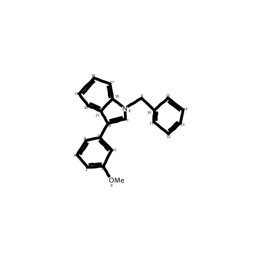 COc1cc[c]c(-c2cn(Cc3ccccc3)c3ccccc23)c1